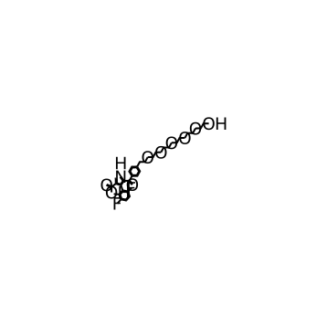 Cc1c(F)ccc(F)c1-c1c(C(=O)O)c[nH]c1C(=O)c1ccc(CCOCCOCCOCCOCCOCCO)cc1